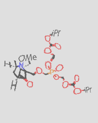 COC[C@]1(COCP(=O)(OCOC(=O)OC(C)C)OCOC(=O)OC(C)C)C(=O)[C@H]2CCN1[C@H](C)C2